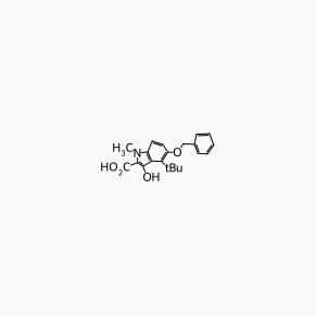 Cn1c(C(=O)O)c(O)c2c(C(C)(C)C)c(OCc3ccccc3)ccc21